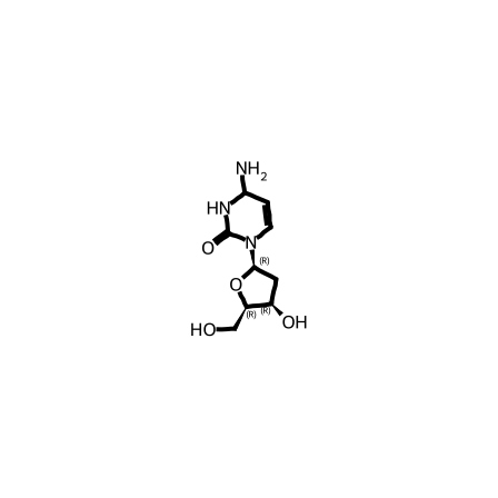 NC1C=CN([C@H]2C[C@@H](O)[C@@H](CO)O2)C(=O)N1